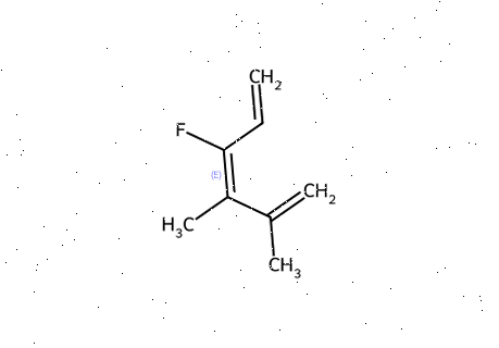 C=C/C(F)=C(/C)C(=C)C